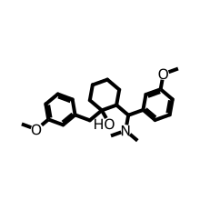 COc1cccc(CC2(O)CCCCC2C(c2cccc(OC)c2)N(C)C)c1